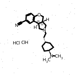 CN(C)[C@H]1CC[C@H](CCN2C[C@H]3COc4ccc(C#N)cc4[C@@H]3C2)CC1.Cl.Cl